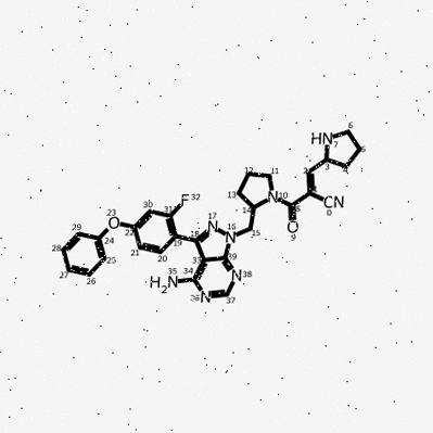 N#CC(=CC1CCCN1)C(=O)N1CCCC1Cn1nc(-c2ccc(Oc3ccccc3)cc2F)c2c(N)ncnc21